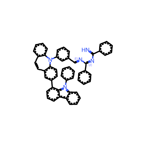 N=C(/N=C(\N=C\c1cccc(N2c3ccccc3C=Cc3cc(-c4cccc5c6ccccc6n(-c6ccccc6)c45)ccc32)c1)c1ccccc1)c1ccccc1